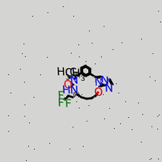 CCN1C(=O)N[C@@H](CCC(F)(F)F)CCCCOc2nc(cn3ccnc23)-c2cccc(c2)[C@H]1C